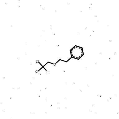 ClC(Cl)(Cl)COCCc1ccccc1